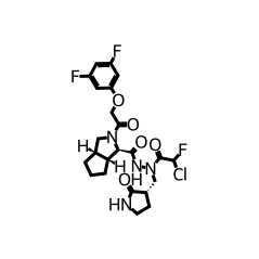 O=C1NCC[C@H]1CN(NC(=O)[C@H]1[C@@H]2CCC[C@@H]2CN1C(=O)COc1cc(F)cc(F)c1)C(=O)C(F)Cl